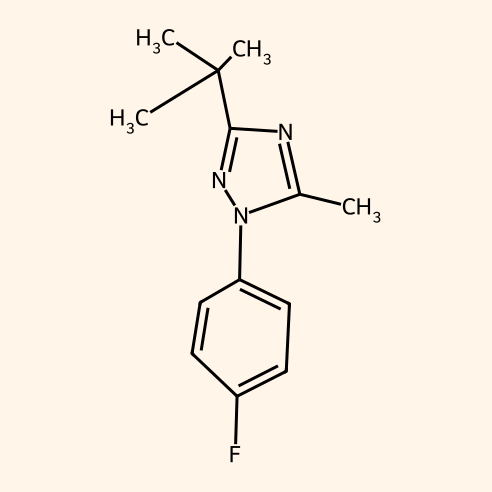 Cc1nc(C(C)(C)C)nn1-c1ccc(F)cc1